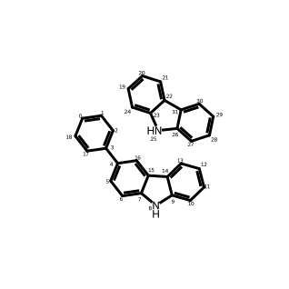 c1ccc(-c2ccc3[nH]c4ccccc4c3c2)cc1.c1ccc2c(c1)[nH]c1ccccc12